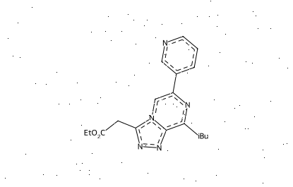 CCOC(=O)Cc1nnc2c(C(C)CC)nc(-c3cccnc3)cn12